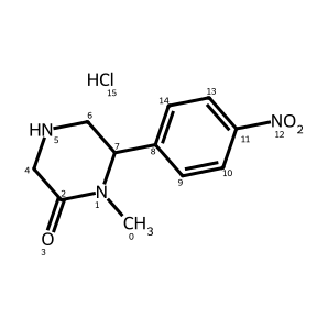 CN1C(=O)CNCC1c1ccc([N+](=O)[O-])cc1.Cl